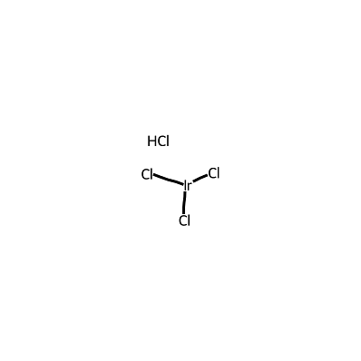 Cl.[Cl][Ir]([Cl])[Cl]